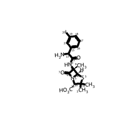 CC1(C)S[C@H]2N(C(=O)[C@]2(C)NC(=O)C(N)c2cccc(I)c2)[C@H]1C(=O)O